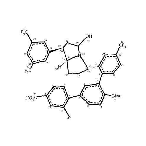 COc1ccc(-c2ccc(C(=O)O)cc2C)cc1-c1ccc(C(F)(F)F)cc1[C@@H]1CC[C@H]2[C@@H](c3cc(C(F)(F)F)cc(C(F)(F)F)c3)CC(O)N12